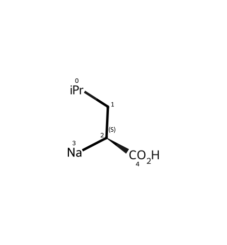 CC(C)C[C@H]([Na])C(=O)O